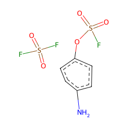 Nc1ccc(OS(=O)(=O)F)cc1.O=S(=O)(F)F